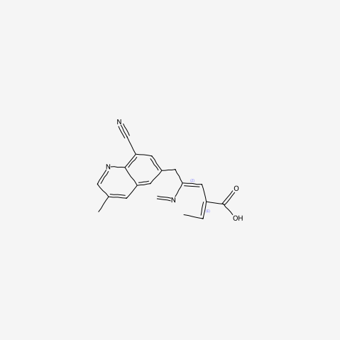 C=N/C(=C\C(=C/C)C(=O)O)Cc1cc(C#N)c2ncc(C)cc2c1